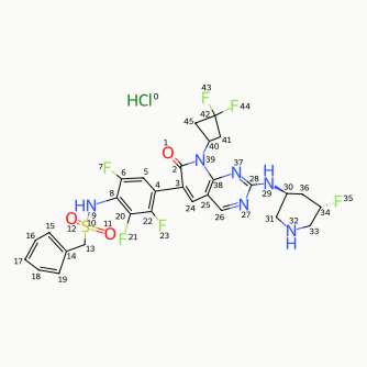 Cl.O=c1c(-c2cc(F)c(NS(=O)(=O)Cc3ccccc3)c(F)c2F)cc2cnc(N[C@@H]3CNC[C@@H](F)C3)nc2n1C1CC(F)(F)C1